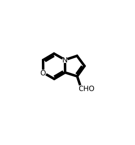 O=CC1=CCN2C=COC=C12